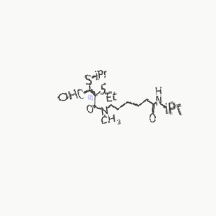 CCS/C(C(=O)N(C)CCCCCC(=O)NC(C)C)=C(/C=O)SC(C)C